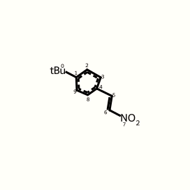 CC(C)(C)c1ccc(C=C[N+](=O)[O-])cc1